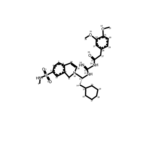 CNS(=O)(=O)c1ccc2c(c1)CN([C@@H](CC1CCCCC1)NC(=N)NC(=O)Cc1ccc(OC)c(OC)c1)C=C2